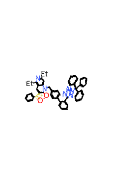 CCc1cc2c(cc([S+]([O-])c3ccccc3)c(=O)n2Cc2ccc(-c3ccccc3-c3nnn(C(c4ccccc4)(c4ccccc4)c4ccccc4)n3)cc2)c(CC)n1